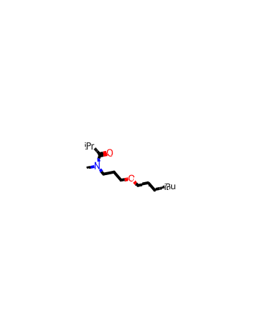 CCC(C)CCCOCCCN(C)C(=O)C(C)C